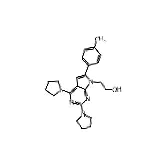 Cc1ccc(-c2cc3c(N4CCCC4)nc(N4CCCC4)nc3n2CCO)cc1